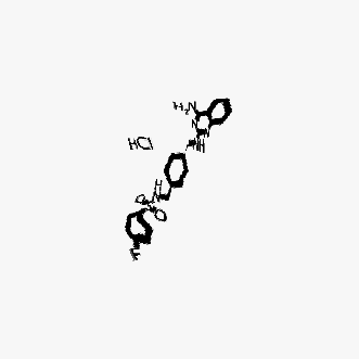 Cl.Nc1nc(NC[C@H]2CC[C@H](CNS(=O)(=O)c3ccc(F)cc3)CC2)nc2ccccc12